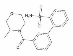 CC1COCCN1C(=O)c1cccc(-c2ccccc2S(N)(=O)=O)c1